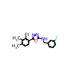 CCc1c(-c2nnc(NCc3cccc(F)c3)o2)ccc(C)c1C